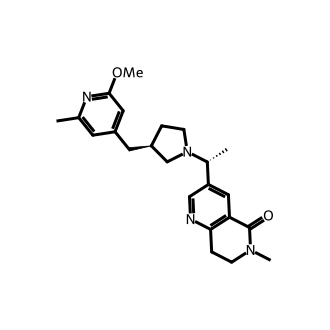 COc1cc(C[C@H]2CCN([C@H](C)c3cnc4c(c3)C(=O)N(C)CC4)C2)cc(C)n1